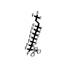 FC(F)(F)CCC(F)(F)C(F)(F)C(F)(F)C(F)(F)C(F)(F)C(F)(F)C(F)(F)[Si](Cl)(Cl)Cl